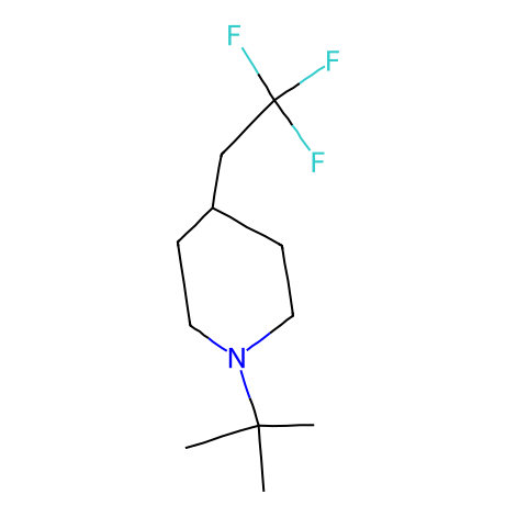 CC(C)(C)N1CCC(CC(F)(F)F)CC1